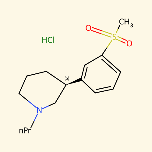 CCCN1CCC[C@@H](c2cccc(S(C)(=O)=O)c2)C1.Cl